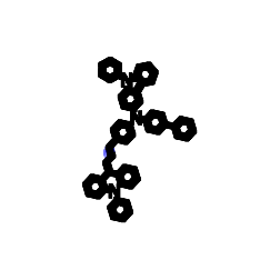 C(/C=C/c1ccc(N(c2ccc(-c3ccccc3)cc2)c2ccc3c(c2)c2ccccc2n3-c2ccccc2)cc1)=C1c2ccccc2N(c2ccccc2)c2ccccc21